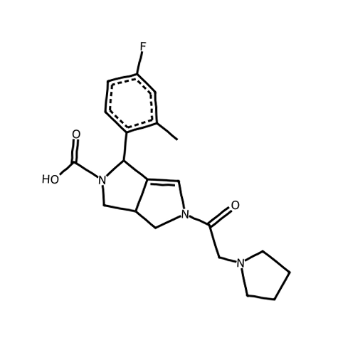 Cc1cc(F)ccc1C1C2=CN(C(=O)CN3CCCC3)CC2CN1C(=O)O